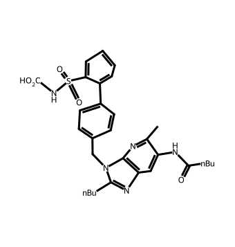 CCCCC(=O)Nc1cc2nc(CCCC)n(Cc3ccc(-c4ccccc4S(=O)(=O)NC(=O)O)cc3)c2nc1C